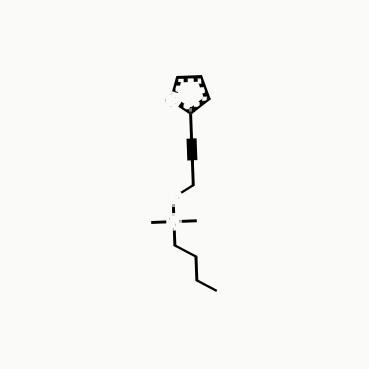 CCCC[Si](C)(C)OCC#Cc1ccco1